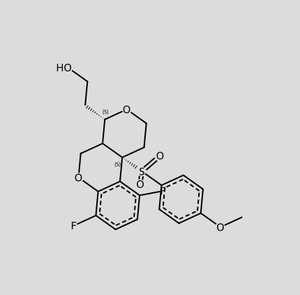 COc1ccc(S(=O)(=O)[C@@]23CCO[C@@H](CCO)C2COc2c(F)ccc(F)c23)cc1